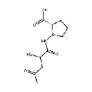 CC(=O)CC(S)C(=O)NN1CCC[C@H]1C(=O)O